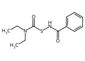 CCN(CC)C(=O)SNC(=O)c1ccccc1